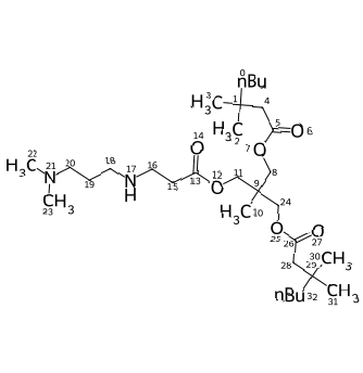 CCCCC(C)(C)CC(=O)OCC(C)(COC(=O)CCNCCCN(C)C)COC(=O)CC(C)(C)CCCC